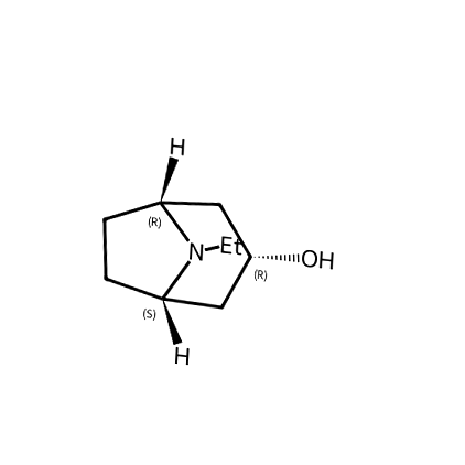 CCN1[C@@H]2CC[C@H]1C[C@@H](O)C2